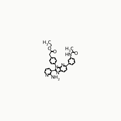 CCOC(=O)Cc1ccc(-n2c(-c3cccnc3N)nc3ccc(-c4cccc(NC(C)=O)c4)nc32)cc1